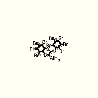 [AlH2][CH2]C(Oc1c(Br)c(Br)c(Br)c(Br)c1Br)Oc1c(Br)c(Br)c(Br)c(Br)c1Br